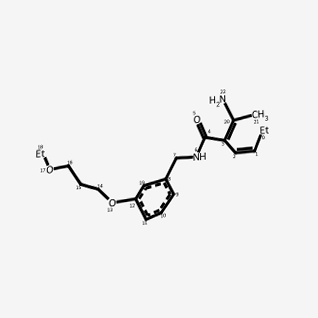 CC/C=C\C(C(=O)NCc1cccc(OCCCOCC)c1)=C(/C)N